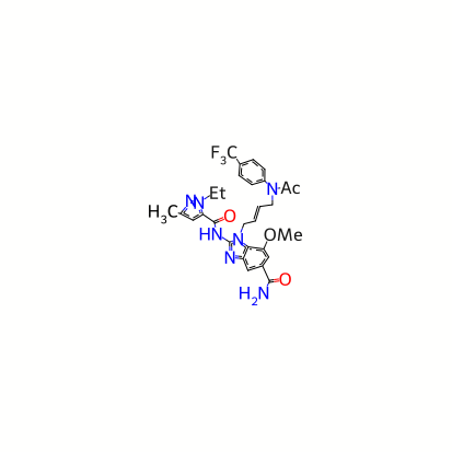 CCn1nc(C)cc1C(=O)Nc1nc2cc(C(N)=O)cc(OC)c2n1CC=CCN(C(C)=O)c1ccc(C(F)(F)F)cc1